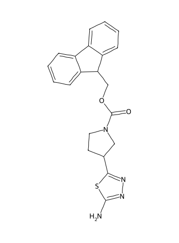 Nc1nnc(C2CCN(C(=O)OCC3c4ccccc4-c4ccccc43)C2)s1